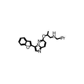 CC(C)CNCC(C)Oc1ccc2ncc(-c3cc4ccccc4o3)n2n1